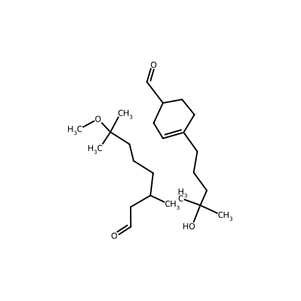 CC(C)(O)CCCC1=CCC(C=O)CC1.COC(C)(C)CCCC(C)CC=O